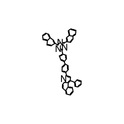 c1ccc(-c2cc(-c3ccc(-c4ccc(-c5nc(-c6ccc7ccccc7c6)nc(-c6ccc7ccccc7c6)n5)cc4)cc3)nc3ccc4ccccc4c23)cc1